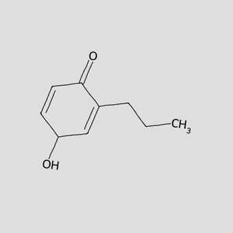 CCCC1=CC(O)C=CC1=O